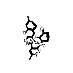 Cc1ccc(CC2CON=C(c3cc(C)nnc3S(=O)(=O)c3cccc(Cl)c3F)N2)c(Cl)c1